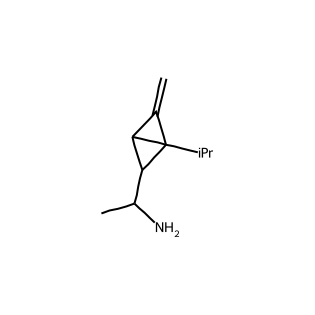 C=C1C2C(C(C)N)C12C(C)C